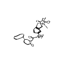 CN1C(=O)NC(=O)[C@]12Cc1ccc(NC(=O)CN3C[C@H](c4ccccc4)CCC3=O)cc1C2